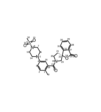 Cc1ccc(N2CCN(S(C)(=O)=O)CC2)cc1C(=O)N1CC[C@@]2(C1)OC(=O)c1ccccc12